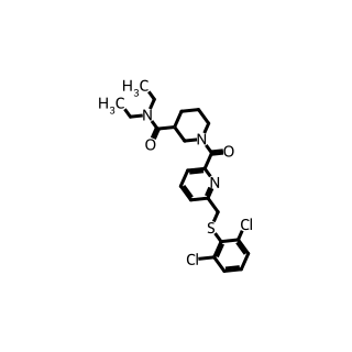 CCN(CC)C(=O)C1CCCN(C(=O)c2cccc(CSc3c(Cl)cccc3Cl)n2)C1